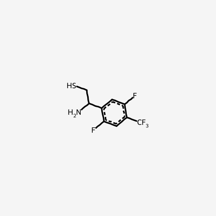 NC(CS)c1cc(F)c(C(F)(F)F)cc1F